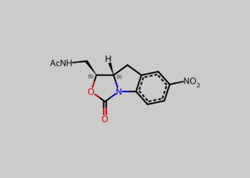 CC(=O)NC[C@@H]1OC(=O)N2c3ccc([N+](=O)[O-])cc3C[C@@H]12